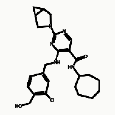 O=C(NC1CCCCCC1)c1cnc(N2CC3CC3C2)nc1NCc1ccc(CO)c(Cl)c1